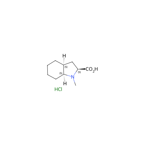 CN1[C@H](C(=O)O)C[C@@H]2CCCC[C@@H]21.Cl